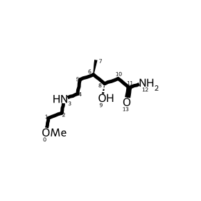 COCCNCC[C@@H](C)[C@@H](O)CC(N)=O